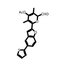 CC(=O)OC1=C(C)C(C=O)OC(c2cc3cc(-c4cccs4)ccc3o2)=C1C